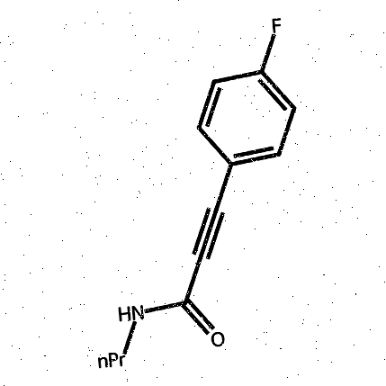 CCCNC(=O)C#Cc1ccc(F)cc1